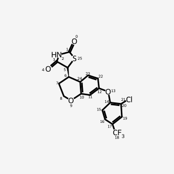 O=C1NC(=O)C([C@@H]2CCOc3cc(Oc4ccc(C(F)(F)F)cc4Cl)ccc32)S1